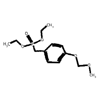 CCOP(=O)(Cc1ccc(OCOC)cc1)OCC